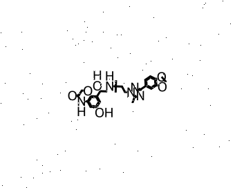 Cc1nc(-c2ccc3c(c2)OCO3)nn1CCC(C)(C)NCC(O)c1cc(O)cc2c1OCC(=O)N2